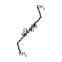 CCCCCCCC/C=C\CCCCCCCC(=O)OCCN(Cl)CCN(Cl)CCOC(=O)CCCCCCC/C=C\CCCCCCCC